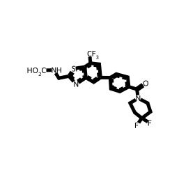 O=C(O)NCc1nc2cc(-c3ccc(C(=O)N4CCC(F)(F)CC4)cc3)cc(C(F)(F)F)c2s1